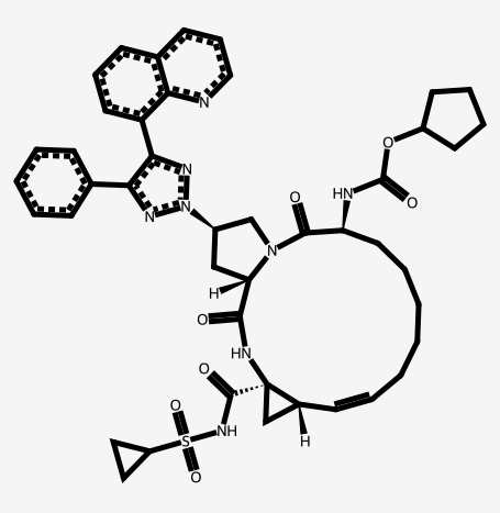 O=C(N[C@H]1CCCCC/C=C\[C@@H]2C[C@@]2(C(=O)NS(=O)(=O)C2CC2)NC(=O)[C@@H]2C[C@@H](n3nc(-c4ccccc4)c(-c4cccc5cccnc45)n3)CN2C1=O)OC1CCCC1